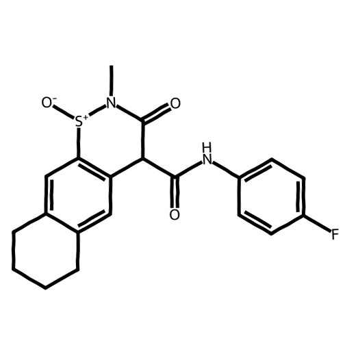 CN1C(=O)C(C(=O)Nc2ccc(F)cc2)c2cc3c(cc2[S+]1[O-])CCCC3